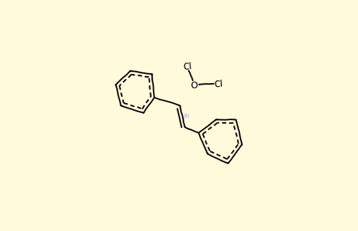 C(=C\c1ccccc1)/c1ccccc1.ClOCl